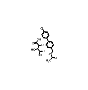 CC(=O)NCc1ccc(-c2ccc(Cl)cc2)cc1.O=C(O)C(O)C(O)C(=O)O